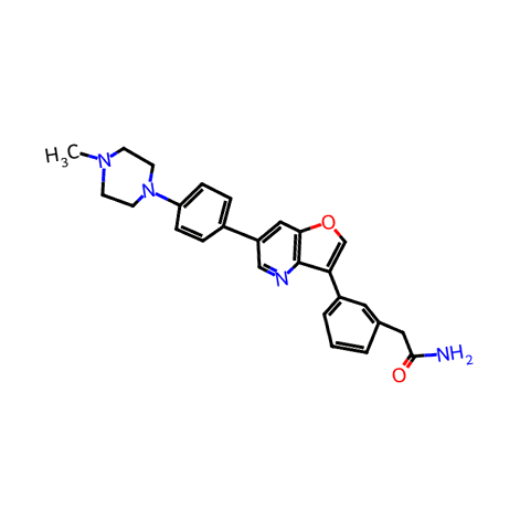 CN1CCN(c2ccc(-c3cnc4c(-c5cccc(CC(N)=O)c5)coc4c3)cc2)CC1